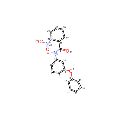 O=C(Nc1cccc(Oc2ccccc2)c1)c1ccccc1[N+](=O)[O-]